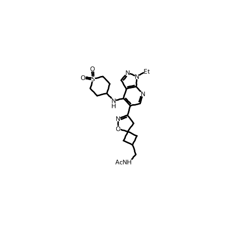 CCn1ncc2c(NC3CCS(=O)(=O)CC3)c(C3=NOC4(C3)CC(CNC(C)=O)C4)cnc21